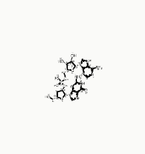 Nc1nc2c(ncn2[C@@H]2O[C@H](CO)C[C@H]2OP(=O)(S)OC[C@H]2O[C@@H](n3cnc4c(N)ncnc43)[C@H](O)[C@H]2O)c(=O)[nH]1